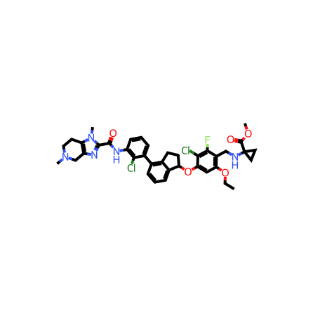 CCOc1cc(OC2CCc3c(-c4cccc(NC(=O)c5nc6c(n5C)CCN(C)C6)c4Cl)cccc32)c(Cl)c(F)c1CNC1(C(=O)OC)CC1